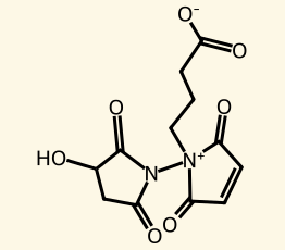 O=C([O-])CCC[N+]1(N2C(=O)CC(O)C2=O)C(=O)C=CC1=O